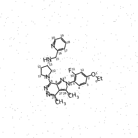 CCOc1ccc(-n2nc3c(N4CC[C@H](NCc5ccccn5)C4)nnc(C)c3c2C)c(F)c1